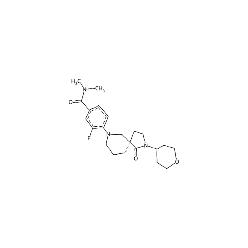 CN(C)C(=O)c1ccc(N2CCC[C@@]3(CCN(C4CCOCC4)C3=O)C2)c(F)c1